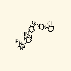 Cc1ncc(-c2ccnc(Nc3ccc(C(=O)N4CCN(c5ccccc5Cl)CC4)cc3)n2)n1C(C)C